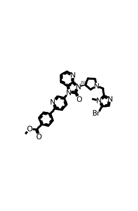 COC(=O)c1ccc(-c2ccc(-n3c(=O)n([C@H]4CCN(Cc5ncc(Br)n5C)C4)c4ncccc43)cn2)cc1